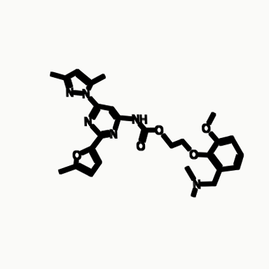 COc1cccc(CN(C)C)c1OCCOC(=O)Nc1cc(-n2nc(C)cc2C)nc(-c2ccc(C)o2)n1